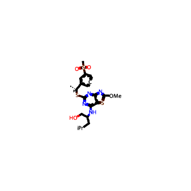 COc1nc2nc(S[C@H](C)c3cccc(S(C)(=O)=O)c3)nc(NC(CO)CC(C)C)c2s1